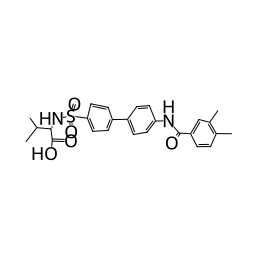 Cc1ccc(C(=O)Nc2ccc(-c3ccc(S(=O)(=O)N[C@H](C(=O)O)C(C)C)cc3)cc2)cc1C